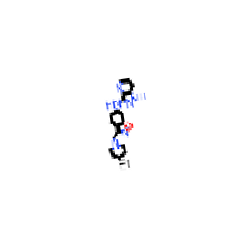 CCC1CCN(Cc2noc3cc(Nc4n[nH]c5cccnc45)ccc23)CC1